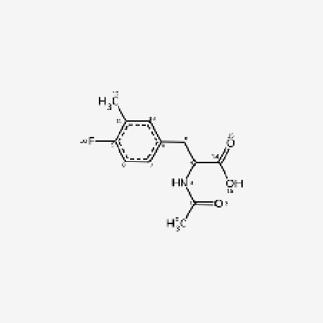 CC(=O)NC(Cc1ccc(F)c(C)c1)C(=O)O